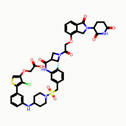 O=C(O)COc1csc(-c2cccc(NC3CCN(S(=O)(=O)Cc4ccc(F)c(NC(=O)C5CN(C(=O)COc6cccc7c6CN(C6CCC(=O)NC6=O)C7=O)C5)c4)CC3)c2)c1Cl